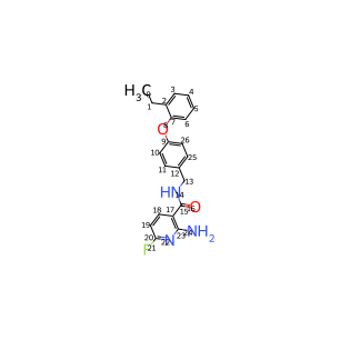 CCc1ccccc1Oc1ccc(CNC(=O)c2ccc(F)nc2N)cc1